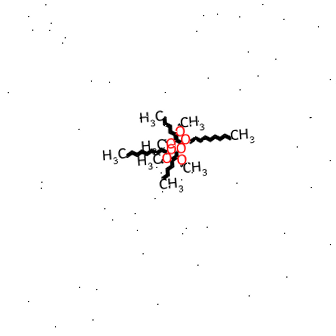 CCCCCCCCCCOC(OC(OCCCCCCCCCC)C(OCC)=C(CCCCC)OCC)C(OCC)=C(CCCCC)OCC